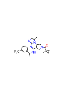 Cc1cnc2nc(NC(C)c3cccc(C(F)(F)F)c3)c3c(n12)CN(C(=O)C1(C)CC1)C3